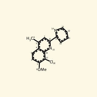 COc1ccc2c(C)cc(-c3ccccn3)nc2c1Cl